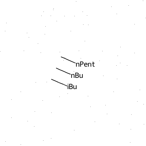 CCC(C)C.CCCCC.CCCCCC